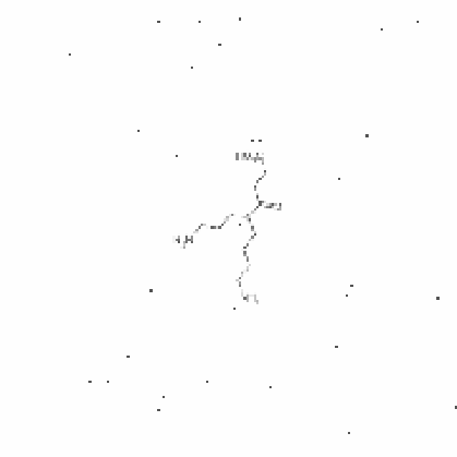 NCCCCN(CCCN)C(=O)CCC(=O)O